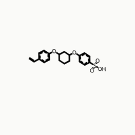 C=Cc1ccc(OC2CCCC(Oc3ccc(S(=O)(=O)O)cc3)C2)cc1